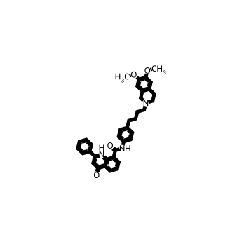 COc1cc2c(cc1OC)CN(CCCCc1ccc(NC(=O)c3cccc4c(=O)cc(-c5ccccc5)[nH]c34)cc1)CC2